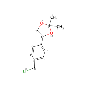 CC1(C)OCC(c2ccc(CCl)cc2)O1